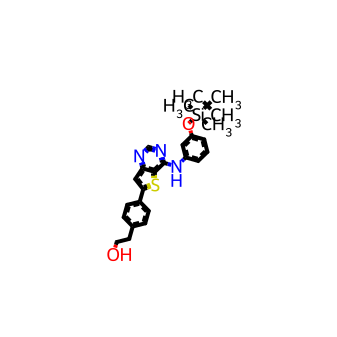 CC(C)(C)[Si](C)(C)Oc1cccc(Nc2ncnc3cc(-c4ccc(CCO)cc4)sc23)c1